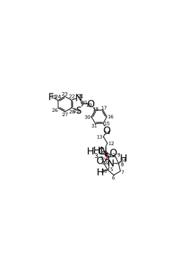 CS(=O)(=O)N1[C@@H]2CC[C@H]1CC(NCCOc1ccc(Oc3nc4cc(F)ccc4s3)cc1)C2